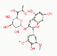 COc1cc(-c2[o+]c3cc(O)cc(O)c3cc2OC2O[C@H](C(O)C(C)=O)[C@@H](O)[C@H](O)[C@H]2O)cc(OC)c1O